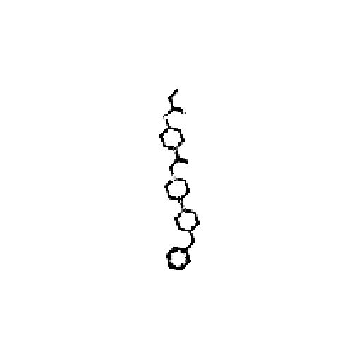 CCC(=O)OC1CCN(C(=O)CN2CCN(N3CCC(Cc4ccccc4)CC3)CC2)CC1